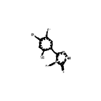 CC(C)c1cc(-c2n[nH]c(=S)n2C(C)C)c(N=O)cc1N=O